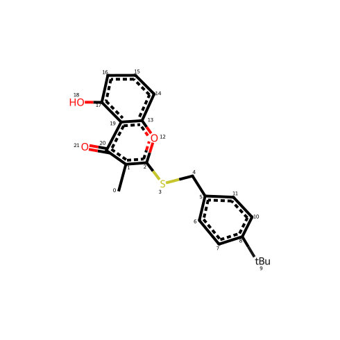 Cc1c(SCc2ccc(C(C)(C)C)cc2)oc2cccc(O)c2c1=O